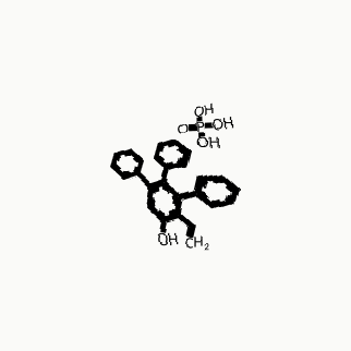 C=Cc1c(O)cc(-c2ccccc2)c(-c2ccccc2)c1-c1ccccc1.O=P(O)(O)O